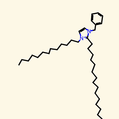 CCCCCCCCCCCCCCCc1n(Cc2ccccc2)cc[n+]1CCCCCCCCCCCCC